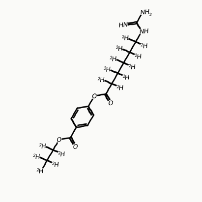 [2H]C([2H])([2H])C([2H])([2H])OC(=O)c1ccc(OC(=O)C([2H])([2H])C([2H])([2H])C([2H])([2H])C([2H])([2H])C([2H])([2H])NC(=N)N)cc1